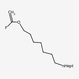 C=C(F)OCCCCCCCCCCCCCC